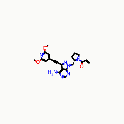 C=CC(=O)N1CCC[C@@H]1Cn1nc(C#Cc2cc(OC)nc(OC)c2)c2c(N)ncnc21